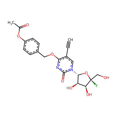 C#Cc1cn([C@@H]2O[C@](F)(CO)[C@@H](O)[C@H]2O)c(=O)nc1OCc1ccc(OC(C)=O)cc1